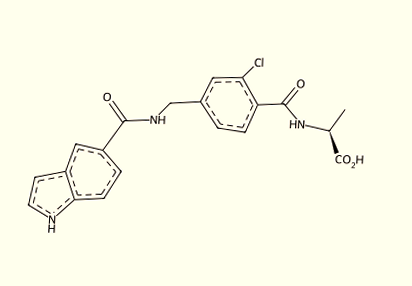 C[C@H](NC(=O)c1ccc(CNC(=O)c2ccc3[nH]ccc3c2)cc1Cl)C(=O)O